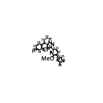 COc1nc(-c2nc3n(n2)CCCC3c2ccc(F)cc2C(F)(F)F)ccc1-n1cnc(C)c1